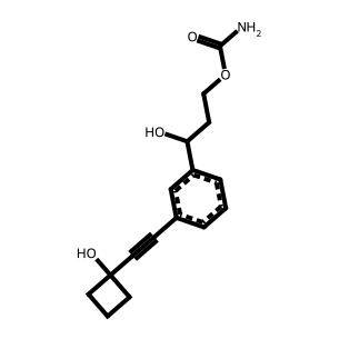 NC(=O)OCCC(O)c1cccc(C#CC2(O)CCC2)c1